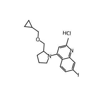 Cc1cc(N2CCCC2COCC2CC2)c2ccc(I)cc2n1.Cl